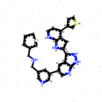 c1ccc(CNCc2cncc(-c3cnc4[nH]nc(-c5cc6c(-c7ccsc7)ccnc6[nH]5)c4c3)c2)cc1